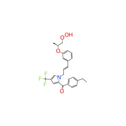 CCc1ccc(C(=O)c2cc(C(F)(F)F)cn2C/C=C/c2cccc(O[C@@H](C)COO)c2)cc1